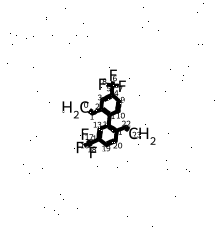 C=Cc1cc(C(F)(F)F)ccc1-c1cc(C(F)(F)F)ccc1C=C